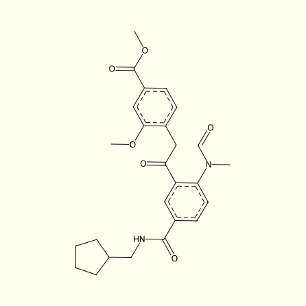 COC(=O)c1ccc(CC(=O)c2cc(C(=O)NCC3CCCC3)ccc2N(C)C=O)c(OC)c1